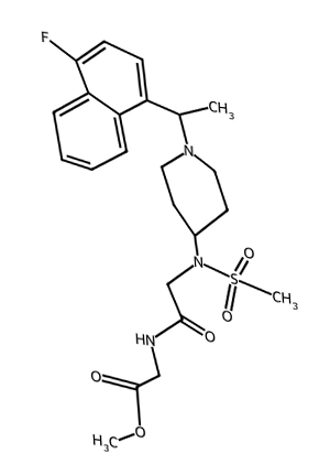 COC(=O)CNC(=O)CN(C1CCN(C(C)c2ccc(F)c3ccccc23)CC1)S(C)(=O)=O